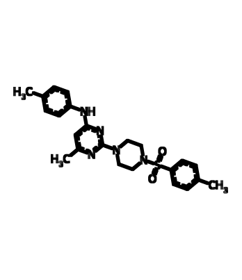 Cc1ccc(Nc2cc(C)nc(N3CCN(S(=O)(=O)c4ccc(C)cc4)CC3)n2)cc1